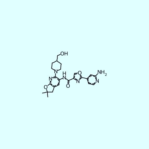 CC1(C)Cc2cc(NC(=O)c3coc(-c4ccnc(N)c4)n3)c(N3CCC(CO)CC3)nc2O1